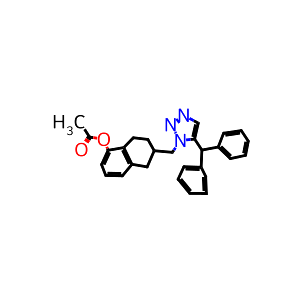 CC(=O)Oc1cccc2c1CCC(Cn1nncc1C(c1ccccc1)c1ccccc1)C2